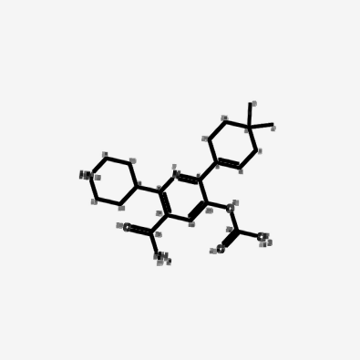 CC1(C)CC=C(c2nc(C3CCNCC3)c(C(N)=O)cc2OC(=O)C(F)(F)F)CC1